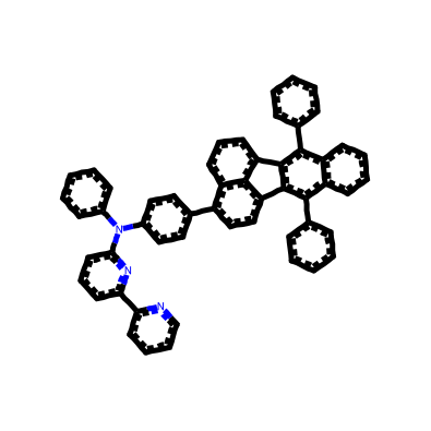 c1ccc(-c2c3c(c(-c4ccccc4)c4ccccc24)-c2ccc(-c4ccc(N(c5ccccc5)c5cccc(-c6ccccn6)n5)cc4)c4cccc-3c24)cc1